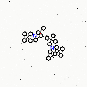 CC1(C)c2ccccc2-c2ccc(N(c3ccc4c(c3)C(c3ccccc3)(c3ccccc3)c3ccc(-c5cccc(-c6ccccc6N(c6ccc(-c7ccccc7)cc6)c6cccc7c6-c6ccccc6C76c7ccccc7-c7ccccc76)c5)cc3-4)c3cccc4c3-c3ccccc3C43c4ccccc4-c4ccccc43)cc21